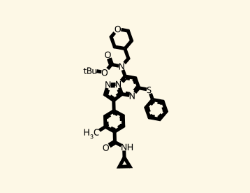 Cc1cc(-c2cnn3c(N(CC4CCOCC4)C(=O)OC(C)(C)C)cc(Sc4ccccc4)nc23)ccc1C(=O)NC1CC1